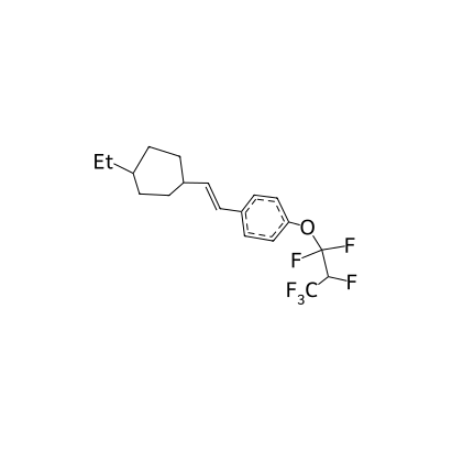 CCC1CCC(/C=C/c2ccc(OC(F)(F)C(F)C(F)(F)F)cc2)CC1